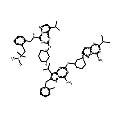 CC(C)c1c(Cc2ccccc2I)nn2c(N)nc(OC3CCCNC3)nc12.CC(C)c1cnn2c(NCc3ccccc3CC(C)(C)[S+](N)[O-])nc(O[C@@H]3CCCNC3)nc12.CC(C)c1nc(N)n2nccc2n1